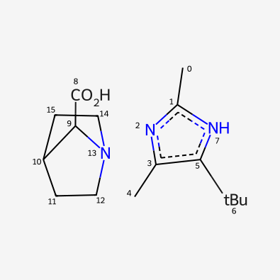 Cc1nc(C)c(C(C)(C)C)[nH]1.O=C(O)C1C2CCN1CC2